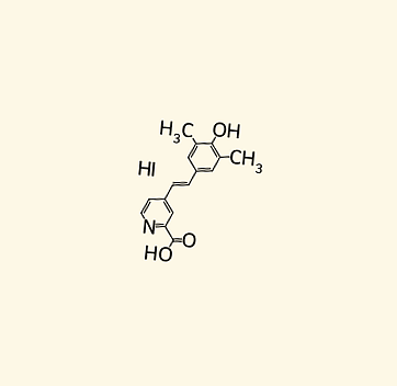 Cc1cc(C=Cc2ccnc(C(=O)O)c2)cc(C)c1O.I